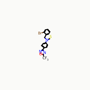 FC(F)(F)c1nc(-c2ccc(N(C=S)Cc3ccccc3Br)cc2)no1